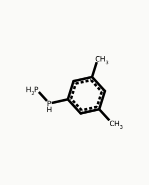 Cc1cc(C)cc(PP)c1